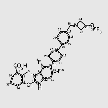 Cc1c(Oc2nc3c(F)c(-c4ccc(-c5ccc(CN6CC(OC(F)(F)F)C6)cc5)cc4)c(F)cc3[nH]2)cccc1C(=O)O